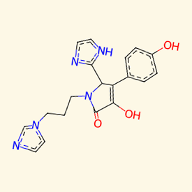 O=C1C(O)=C(c2ccc(O)cc2)C(c2ncc[nH]2)N1CCCn1ccnc1